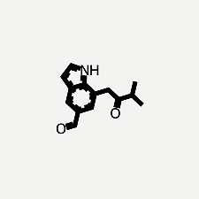 CC(C)C(=O)Cc1cc(C=O)cc2cc[nH]c12